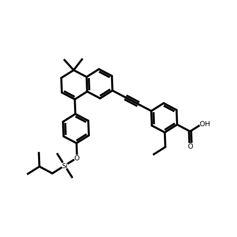 CCc1cc(C#Cc2ccc3c(c2)C(c2ccc(O[Si](C)(C)CC(C)C)cc2)=CCC3(C)C)ccc1C(=O)O